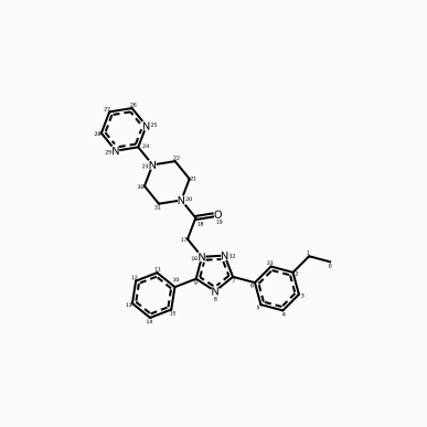 CCc1cccc(-c2nc(-c3ccccc3)n(CC(=O)N3CCN(c4ncccn4)CC3)n2)c1